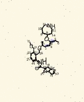 C=C(/C=C\C(=C/C)OC1CCCNCC1)OCc1c(COC)cccc1NC(=O)c1cc2sccc2n1C